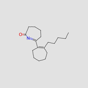 CCCCCC1=C(C2=NC(=O)CCCC2)CCCCC1